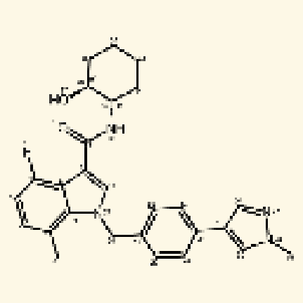 Cc1ccc(F)c2c(C(=O)N[C@H]3CCCC[C@@H]3O)cn(Cc3ccc(-c4cnn(C)c4)cc3)c12